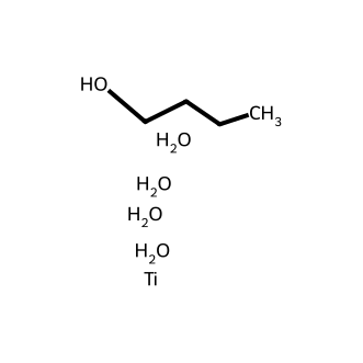 CCCCO.O.O.O.O.[Ti]